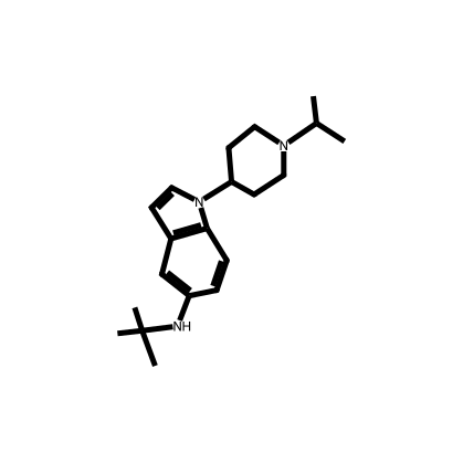 CC(C)N1CCC(n2ccc3cc(NC(C)(C)C)ccc32)CC1